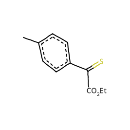 CCOC(=O)C(=S)c1ccc(C)cc1